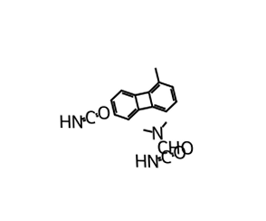 CN(C)C=O.Cc1cccc2c1-c1ccccc1-2.N=C=O.N=C=O